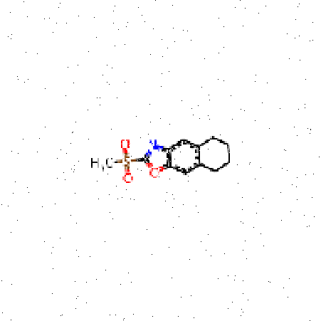 CS(=O)(=O)c1nc2cc3c(cc2o1)CCCC3